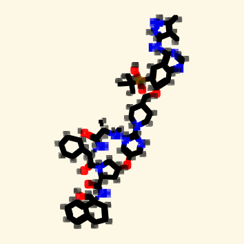 CN[C@@H](C)C(=O)N[C@H](C(=O)N1C[C@@H](Oc2cnc(N3CCC(COc4cc5ncnc(Nc6n[nH]c(C)c6C)c5cc4S(=O)(=O)C(C)(C)C)CC3)nc2)C[C@H]1C(=O)N[C@]1(C=O)C=CCc2ccccc21)C1CCCCC1